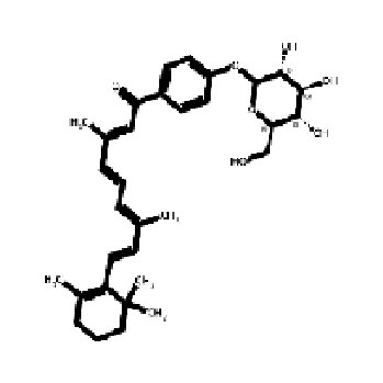 CC(C=CC1=C(C)CCCC1(C)C)=CC=CC(C)=CC(=O)c1ccc(OC2O[C@H](CO)[C@@H](O)[C@H](O)[C@H]2O)cc1